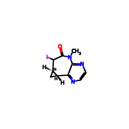 CN1C(=O)C(I)[C@@H]2C[C@H]2c2nccnc21